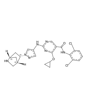 O=C(Nc1c(Cl)cccc1Cl)c1cnc(Nc2cnn([C@H]3C[C@@H]4C[C@H]3CN4)c2)nc1OC1CC1